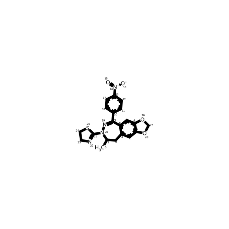 CC1Cc2cc3c(cc2C(c2ccc([N+](=O)[O-])cc2)=NN1C1=NCCS1)OCO3